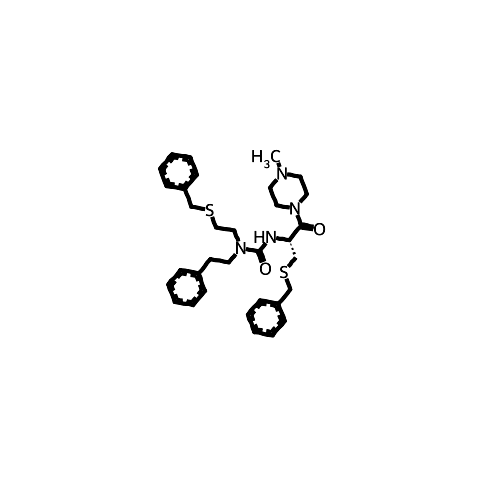 CN1CCN(C(=O)[C@H](CSCc2ccccc2)NC(=O)N(CCSCc2ccccc2)CCc2ccccc2)CC1